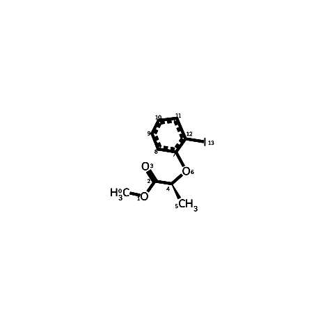 COC(=O)[C@H](C)Oc1ccccc1I